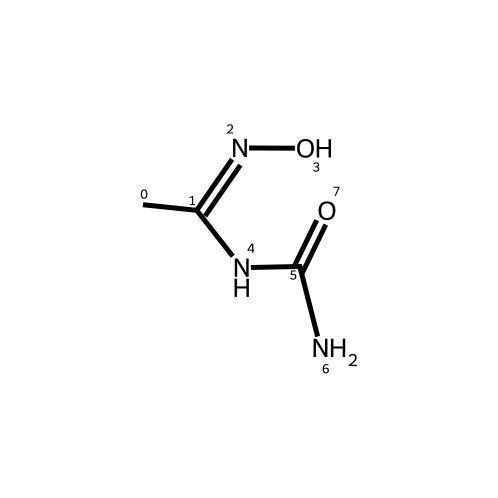 CC(=NO)NC(N)=O